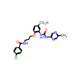 Cc1cnc(NC(=O)Nc2cc(C(=O)O)ccc2OCCCNC(=O)c2ccc(Cl)cc2)cn1